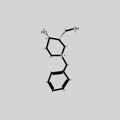 OC[C@@H]1CN(Cc2ccccc2)CC[C@@H]1O